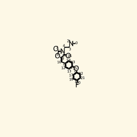 CN(C)CCN1C(=O)OC(=Cc2ccc(Oc3ccc(F)cc3)cc2)C1=O